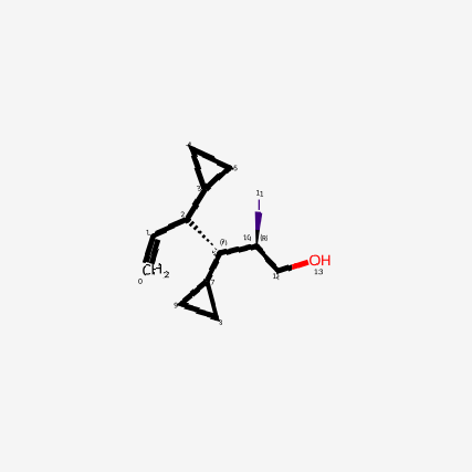 C=CC(C1CC1)[C@@H](C1CC1)[C@@H](I)CO